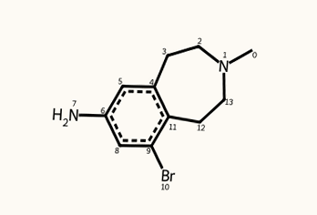 CN1CCc2cc(N)cc(Br)c2CC1